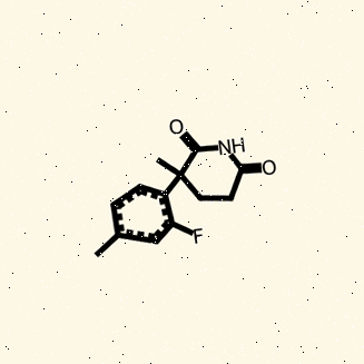 Cc1ccc(C2(C)CCC(=O)NC2=O)c(F)c1